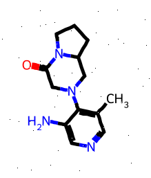 Cc1cncc(N)c1N1CC(=O)N2CCCC2C1